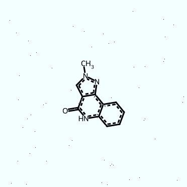 Cn1cc2c(=O)[nH]c3ccccc3c2n1